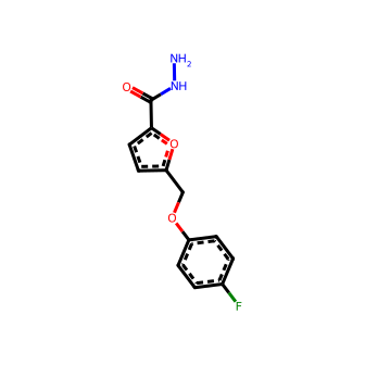 NNC(=O)c1ccc(COc2ccc(F)cc2)o1